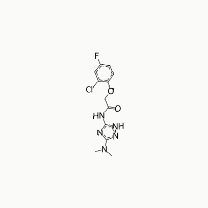 CN(C)c1n[nH]c(NC(=O)COc2ccc(F)cc2Cl)n1